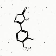 O=C(O)c1ccc(-c2nsc(=O)[nH]2)cc1F